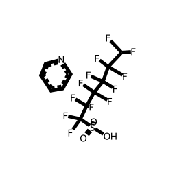 O=S(=O)(O)C(F)(F)C(F)(F)C(F)(F)C(F)(F)C(F)(F)C(F)F.c1ccncc1